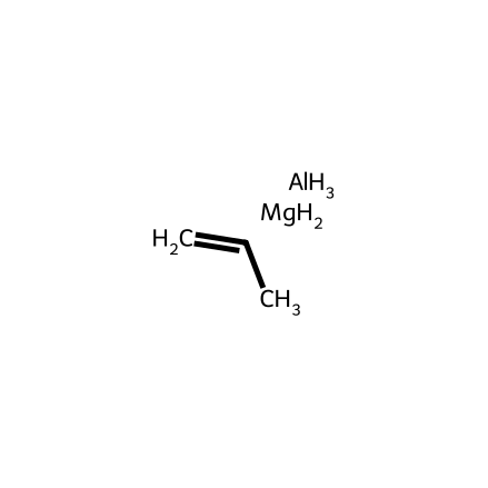 C=CC.[AlH3].[MgH2]